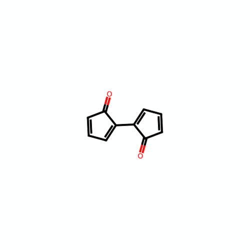 O=C1C=CC=C1C1=CC=CC1=O